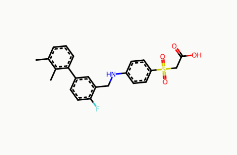 Cc1cccc(-c2ccc(F)c(CNc3ccc(S(=O)(=O)CC(=O)O)cc3)c2)c1C